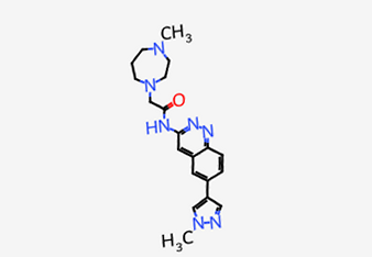 CN1CCCN(CC(=O)Nc2cc3cc(-c4cnn(C)c4)ccc3nn2)CC1